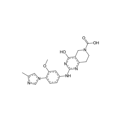 COc1cc(Nc2nc(O)c3c(n2)CCN(C(=O)O)C3)ccc1-n1cnc(C)c1